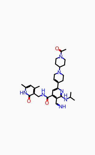 CC(=O)N1CCC(N2CC=C(c3cc(C(=O)NCc4c(C)cc(C)[nH]c4=O)c(C=N)c(NC(C)C)n3)CC2)CC1